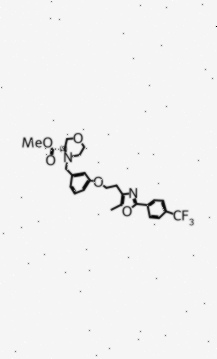 COC(=O)[C@@H]1COCCN1Cc1cccc(OCCc2nc(-c3ccc(C(F)(F)F)cc3)oc2C)c1